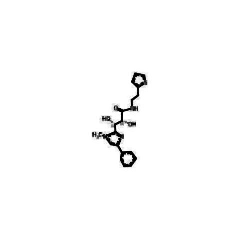 Cn1cc(-c2ccccc2)nc1[C@H](O)[C@@H](O)C(=O)NCCc1cccs1